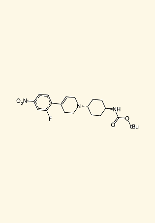 CC(C)(C)OC(=O)N[C@H]1CC[C@H](N2CC=C(c3ccc([N+](=O)[O-])cc3F)CC2)CC1